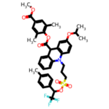 COC(=O)c1cc(C)c(OC(=O)C2c3ccccc3N(CCCS(=O)(=O)OC(c3ccc(C)cc3)C(F)(F)F)c3ccc(OC(C)C)cc32)c(C)c1